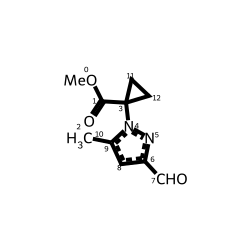 COC(=O)C1(n2nc(C=O)cc2C)CC1